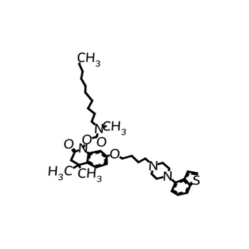 CCCCCCCCCCN(C)C(=O)ON1C(=O)CC(C)(C)c2ccc(OCCCCN3CCN(c4cccc5sccc45)CC3)cc21